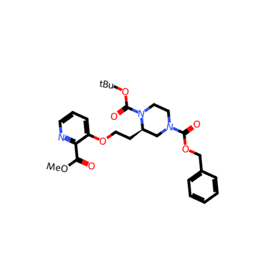 COC(=O)c1ncccc1OCC[C@@H]1CN(C(=O)OCc2ccccc2)CCN1C(=O)OC(C)(C)C